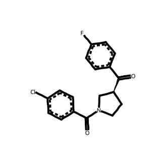 O=C(c1ccc(F)cc1)[C@H]1CCN(C(=O)c2ccc(Cl)cc2)C1